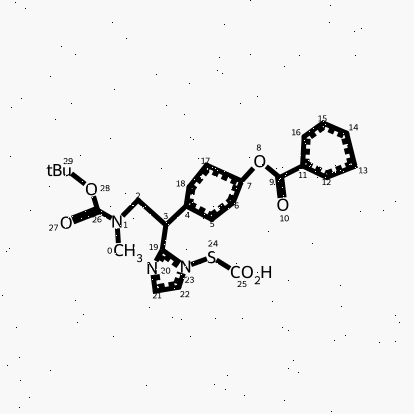 CN(CC(c1ccc(OC(=O)c2ccccc2)cc1)c1nccn1SC(=O)O)C(=O)OC(C)(C)C